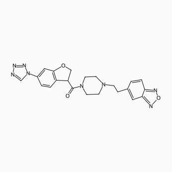 O=C(C1COc2cc(-n3cnnn3)ccc21)N1CCN(CCc2ccc3nonc3c2)CC1